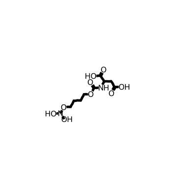 O=C(O)CC(NC(=O)OCCCCON(O)O)C(=O)O